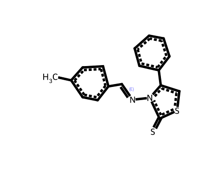 Cc1ccc(/C=N/n2c(-c3ccccc3)csc2=S)cc1